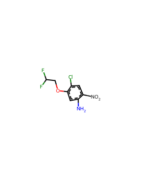 Nc1cc(OCC(F)F)c(Cl)cc1[N+](=O)[O-]